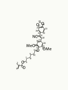 C=C(C)C(=O)OCCCCCCOc1c(OC)cc(C=C(C#N)c2ccc3c(c2)OCO3)cc1OC